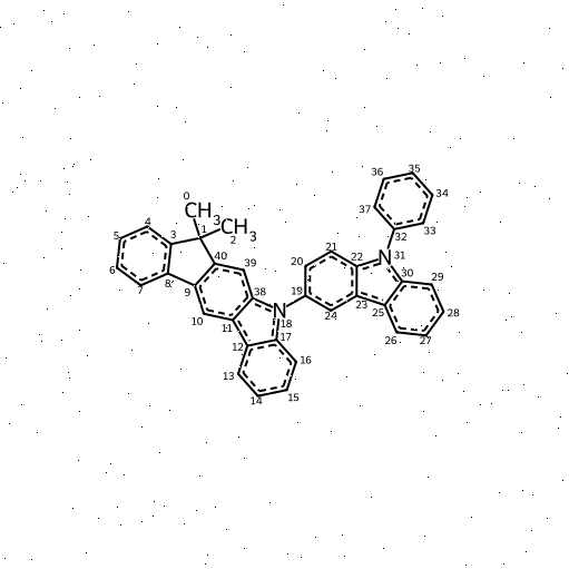 CC1(C)c2ccccc2-c2cc3c4ccccc4n(-c4ccc5c(c4)c4ccccc4n5-c4ccccc4)c3cc21